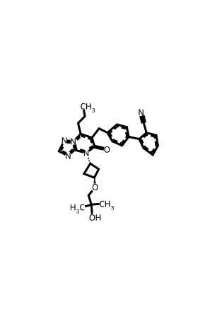 CCCc1c(Cc2ccc(-c3ccccc3C#N)cc2)c(=O)n([C@H]2C[C@H](OCC(C)(C)O)C2)c2ncnn12